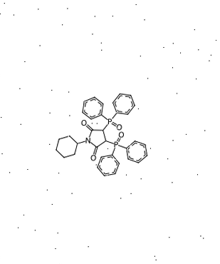 O=C1C(P(=O)(c2ccccc2)c2ccccc2)C(P(=O)(c2ccccc2)c2ccccc2)C(=O)N1C1CCCCC1